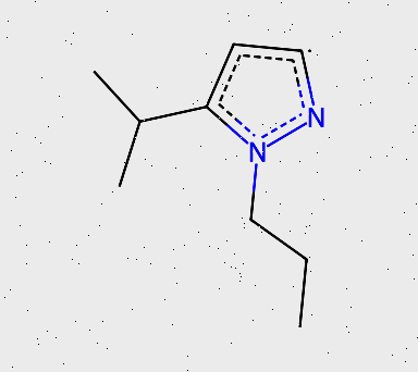 CCCn1n[c]cc1C(C)C